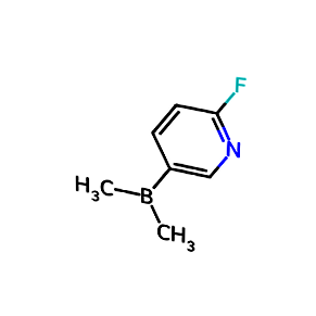 CB(C)c1ccc(F)nc1